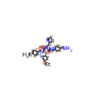 CCOc1ccc(C[C@@H](NC(=O)c2ccc(C)cc2)C(=O)N(CCc2ccccn2)C(=O)NCc2ccc(CN)cc2)cc1